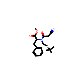 COC(=O)C(Cc1ccccc1)N(CCC(C)(C)C)C(=O)CC#N